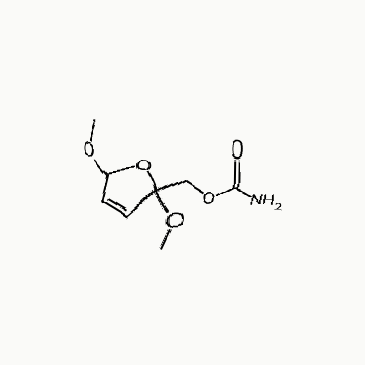 COC1C=CC(COC(N)=O)(OC)O1